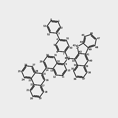 c1ccc(-c2ccc(N(c3cccc4c(-c5cc6ccccc6c6ccccc56)cccc34)c3c4ccccc4cc4c3sc3ccccc34)cc2)cc1